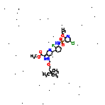 COC(=O)c1nn(COCC[Si](C)(C)C)c2cc(-c3cccc(NS(=O)(=O)c4cc(Cl)cnc4OC)c3F)ncc12